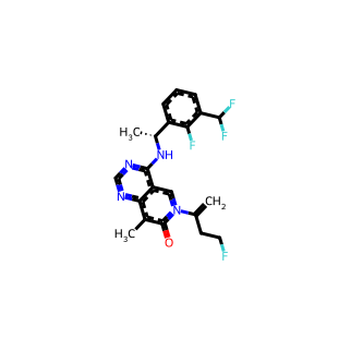 C=C(CCF)n1cc2c(N[C@H](C)c3cccc(C(F)F)c3F)ncnc2c(C)c1=O